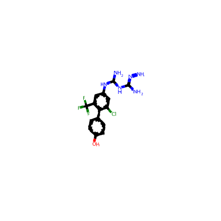 N=NC(N)NC(N)Nc1cc(Cl)c(-c2ccc(O)cc2)c(C(F)(F)F)c1